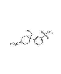 CS(=O)(=O)c1cccc(C2(CC#N)CCN(C(=O)O)CC2)c1